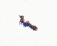 CC1=CC=CC([C@@H]2CCC[C@H](CNc3ncnc(C(=O)N4CCC(N5CCC(N(C)S(C)(=O)=O)CC5)CC4)c3C)O2)C1